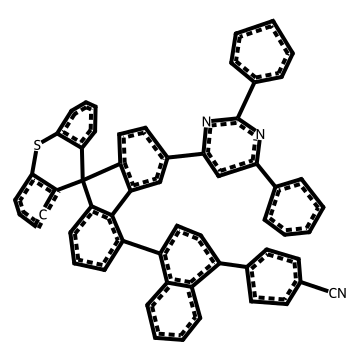 N#Cc1ccc(-c2ccc(-c3cccc4c3-c3cc(-c5cc(-c6ccccc6)nc(-c6ccccc6)n5)ccc3C43c4ccccc4Sc4ccccc43)c3ccccc23)cc1